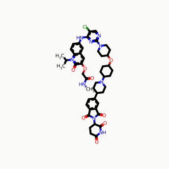 CNC(=O)COc1cc2cc(Nc3nc(N4CCC(OC5CCC(N6CCC(c7ccc8c(c7)C(=O)N(C7CCC(=O)NC7=O)C8=O)CC6)CC5)CC4)ncc3Cl)ccc2n(C(C)C)c1=O